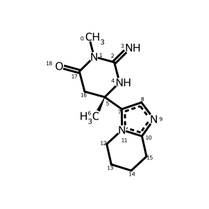 CN1C(=N)N[C@](C)(c2cnc3n2CCCC3)CC1=O